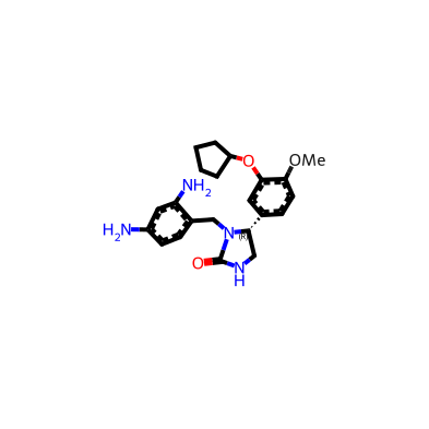 COc1ccc([C@@H]2CNC(=O)N2Cc2ccc(N)cc2N)cc1OC1CCCC1